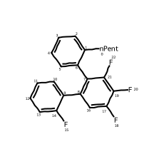 CCCCCc1ccccc1-c1c(-c2ccccc2F)cc(F)c(F)c1F